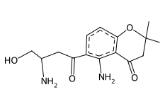 CC1(C)CC(=O)c2c(ccc(C(=O)CC(N)CO)c2N)O1